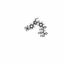 CCc1cc(-c2ccc(OC(F)(F)F)cc2)nn1Cc1ccc(C(=O)NCC(O)C(=O)O)cc1